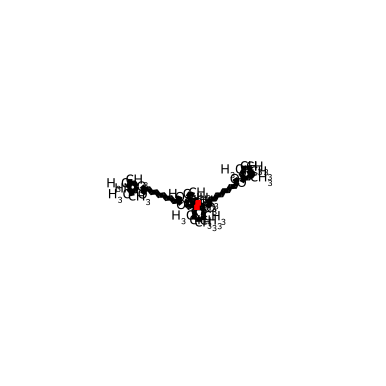 CN1C(C)(C)CC(OC(=O)CCCCCCCCC(=O)OC2CC(C)(C)N(C)C(C)(C)CC2(C)C23CC(OC(=O)CCCCCCCCC(=O)OC4CC(C)(C)NC(C)(C)C4)C(C2)C(C)(C)NC3(C)C)CC1(C)C